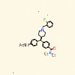 CCN(CC)C(=O)c1ccc(C(=C2CCN(Cc3ccccc3F)CC2)c2ccc(NC(C)=O)cc2)cc1